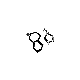 Cn1cnnn1.c1ccc2c(c1)CCNC2